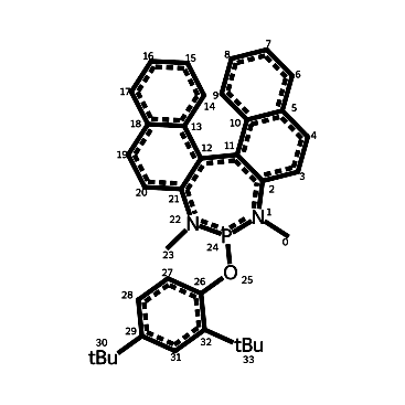 Cn1c2ccc3ccccc3c2c2c3ccccc3ccc2n(C)p1Oc1ccc(C(C)(C)C)cc1C(C)(C)C